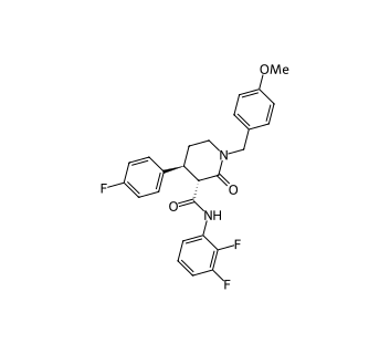 COc1ccc(CN2CC[C@H](c3ccc(F)cc3)[C@@H](C(=O)Nc3cccc(F)c3F)C2=O)cc1